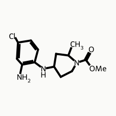 COC(=O)N1CCC(Nc2ccc(Cl)cc2N)CC1C